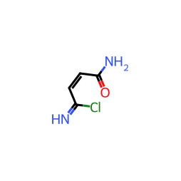 N=C(Cl)/C=C\C(N)=O